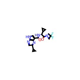 O=C(N[C@@H](C(=O)N1CC(F)(F)C1)C1CC1)c1c[nH]c2ncc(C3CC3)nc12